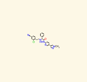 Cn1cc(-c2ccc(NC(=O)[C@@H](NCCc3ccc(C#N)cc3Cl)c3ccccc3)nc2)cn1